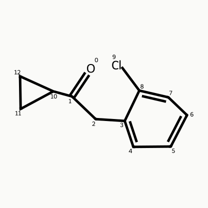 O=C(Cc1ccccc1Cl)C1CC1